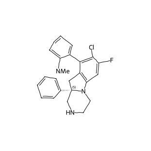 CNc1ccccc1-c1c(Cl)c(F)cc2c1C[C@]1(c3ccccc3)CNCCN21